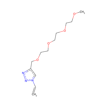 C=Cn1cc(COCCOCCOCCOC)nn1